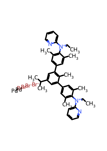 CC=[N+](c1ccccn1)c1c(C)cc(-c2cc(C(C)C)cc(-c3cc(C)c([N+](=CC)c4ccccn4)c(C)c3)c2C)cc1C.[Br-].[Br-].[Br-].[Br-].[Pd].[Pd]